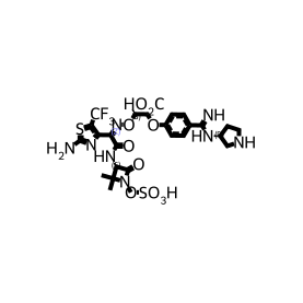 CC1(C)[C@H](NC(=O)/C(=N\O[C@@H](COc2ccc(C(=N)N[C@@H]3CCNC3)cc2)C(=O)O)c2nc(N)sc2C(F)(F)F)C(=O)N1OS(=O)(=O)O